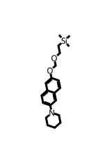 C[Si](C)(C)CCOCOc1ccc2cc(N3CCCCC3)ccc2c1